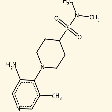 Cc1cncc(N)c1N1CCC(S(=O)(=O)N(C)C)CC1